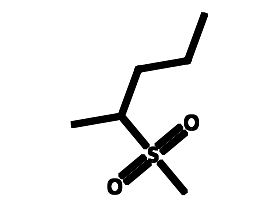 CCCC(C)S(C)(=O)=O